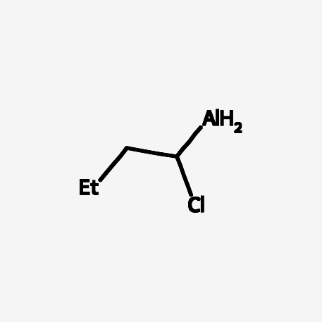 CCC[CH]([AlH2])Cl